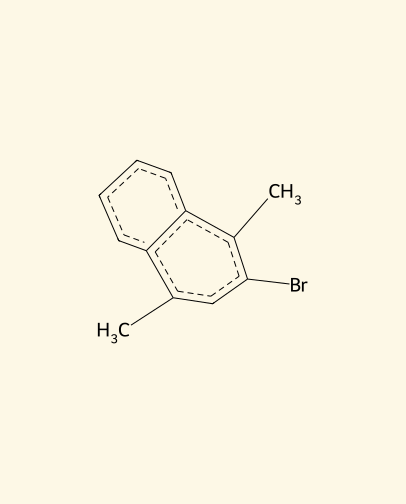 Cc1cc(Br)c(C)c2ccccc12